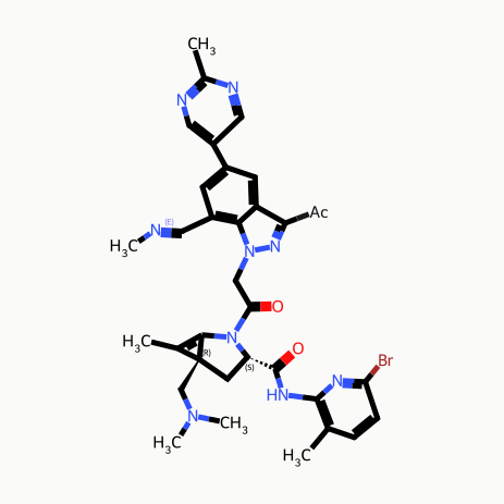 C/N=C/c1cc(-c2cnc(C)nc2)cc2c(C(C)=O)nn(CC(=O)N3C4=C(C)[C@@]4(CN(C)C)C[C@H]3C(=O)Nc3nc(Br)ccc3C)c12